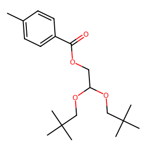 Cc1ccc(C(=O)OCC(OCC(C)(C)C)OCC(C)(C)C)cc1